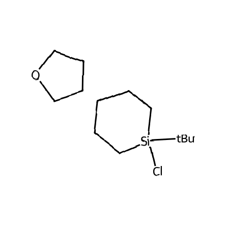 C1CCOC1.CC(C)(C)[Si]1(Cl)CCCCC1